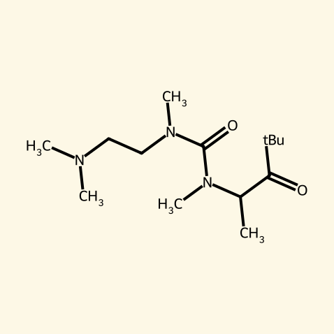 CC(C(=O)C(C)(C)C)N(C)C(=O)N(C)CCN(C)C